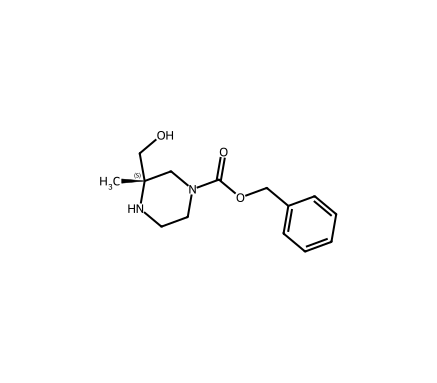 C[C@@]1(CO)CN(C(=O)OCc2ccccc2)CCN1